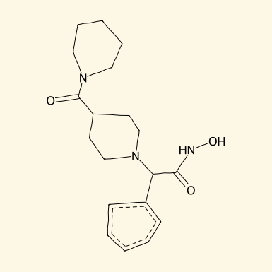 O=C(NO)C(c1ccccc1)N1CCC(C(=O)N2CCCCC2)CC1